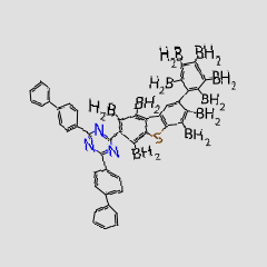 Bc1c(B)c(B)c(-c2cc3c(sc4c(B)c(-c5nc(-c6ccc(-c7ccccc7)cc6)nc(-c6ccc(-c7ccccc7)cc6)n5)c(B)c(B)c43)c(B)c2B)c(B)c1B